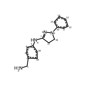 NCc1ccc(NC2=NN(c3ccccc3)CC2)cc1